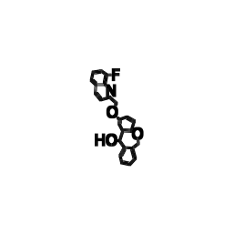 OC1c2ccccc2COc2ccc(OCc3ccc4cccc(F)c4n3)cc21